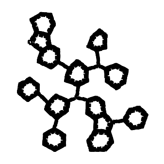 c1ccc(-c2cc(-c3ccccc3)cc(N(c3cc(-c4ccc5oc6ccccc6c5c4)cc(N(c4ccccc4)c4ccccc4)c3)c3ccc4c(c3)c3ccccc3n4-c3ccccc3)c2)cc1